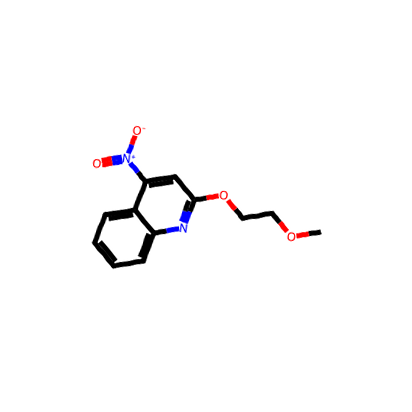 COCCOc1cc([N+](=O)[O-])c2ccccc2n1